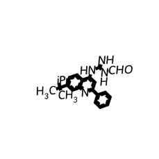 CC(C)C(C)(C)c1ccc2c(NC(=N)NC=O)cc(-c3ccccc3)nc2c1